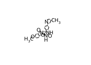 COc1ccc2c(c1)C(=O)N(CC1(c3ccc(-c4cc(C)ccn4)cc3)NC(=O)NC1=O)C2